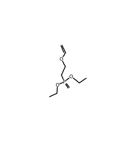 C=COCCP(=C)(OCC)OCC